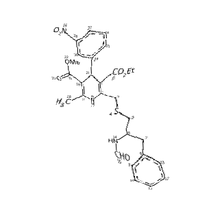 CCOC(=O)C1=C(CSCC(Cc2ccccc2)NC=O)NC(C)=C(C(=O)OC)C1c1cccc([N+](=O)[O-])c1